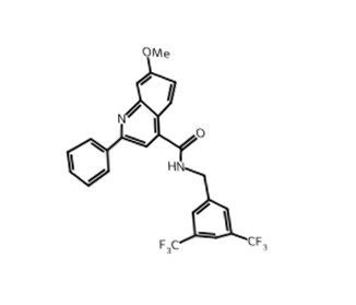 COc1ccc2c(C(=O)NCc3cc(C(F)(F)F)cc(C(F)(F)F)c3)cc(-c3ccccc3)nc2c1